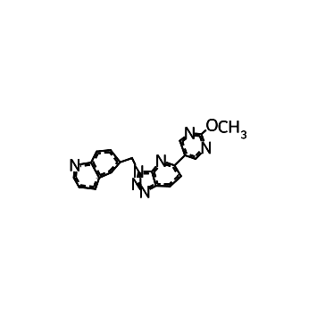 COc1ncc(-c2ccc3nnn(Cc4ccc5ncccc5c4)c3n2)cn1